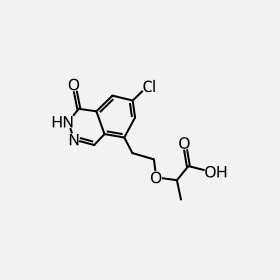 CC(OCCc1cc(Cl)cc2c(=O)[nH]ncc12)C(=O)O